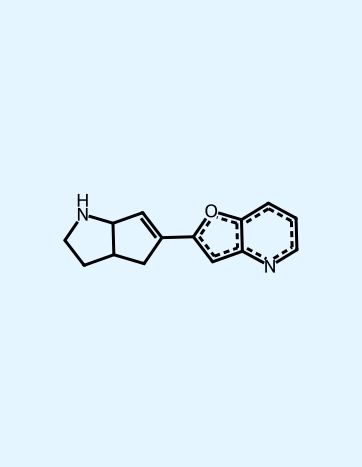 C1=C(c2cc3ncccc3o2)CC2CCNC12